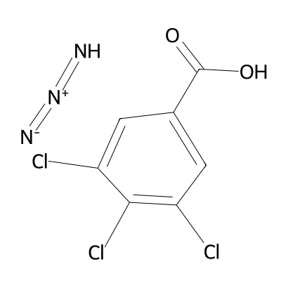 O=C(O)c1cc(Cl)c(Cl)c(Cl)c1.[N-]=[N+]=N